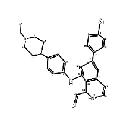 CCN1CCC(c2ccc(Nc3nc(-c4ccc(O)cc4)cc4c3C(C=O)NC=C4)cc2)CC1